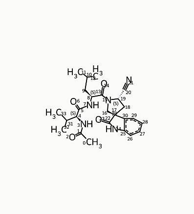 CC(=O)N[C@H](C(=O)N[C@@H](CC(C)C)C(=O)N1C[C@]2(C[C@H]1C#N)C(=O)Nc1ccccc12)C(C)C